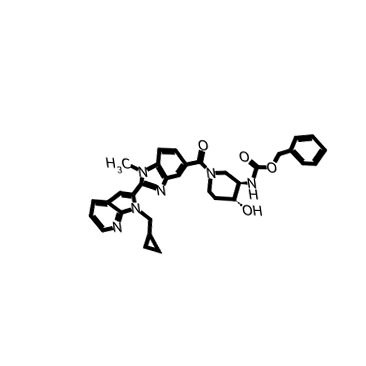 Cn1c(-c2cc3cccnc3n2CC2CC2)nc2cc(C(=O)N3CC[C@@H](O)[C@H](NC(=O)OCc4ccccc4)C3)ccc21